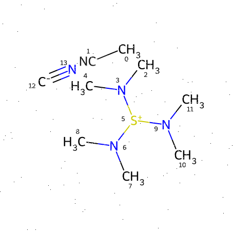 CC#N.CN(C)[S+](N(C)C)N(C)C.[C-]#N